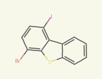 Brc1ccc(I)c2c1sc1ccccc12